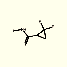 O=C(NI)[C@@H]1CC1(F)F